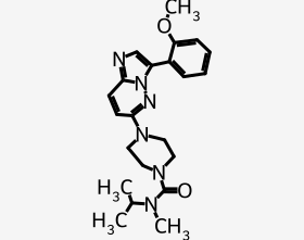 COc1ccccc1-c1cnc2ccc(N3CCN(C(=O)N(C)C(C)C)CC3)nn12